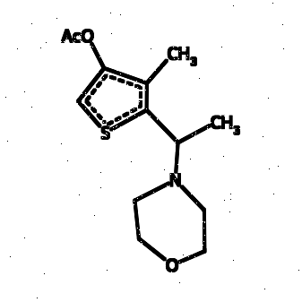 CC(=O)Oc1csc(C(C)N2CCOCC2)c1C